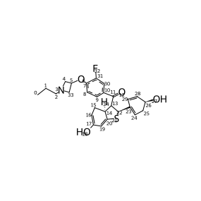 CCCN1CC(Oc2ccc(C(=O)C3[C@@H]4CC=C(O)C=C4S[C@@H]3C3=CC[C@H](O)C=C3)cc2F)C1